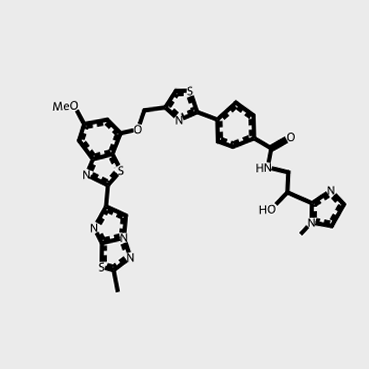 COc1cc(OCc2csc(-c3ccc(C(=O)NCC(O)c4nccn4C)cc3)n2)c2sc(-c3cn4nc(C)sc4n3)nc2c1